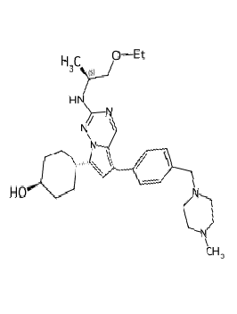 CCOC[C@H](C)Nc1ncc2c(-c3ccc(CN4CCN(C)CC4)cc3)cc([C@H]3CC[C@H](O)CC3)n2n1